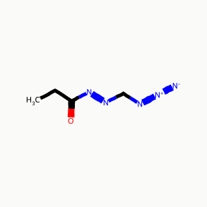 CCC(=O)N=NCN=[N+]=[N-]